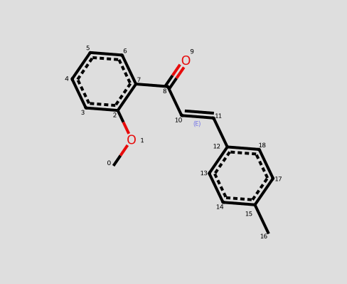 COc1ccccc1C(=O)/C=C/c1ccc(C)cc1